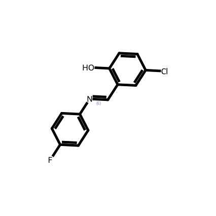 Oc1ccc(Cl)cc1/C=N/c1ccc(F)cc1